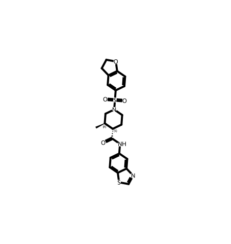 C[C@H]1CN(S(=O)(=O)c2ccc3c(c2)CCO3)CC[C@@H]1C(=O)Nc1ccc2scnc2c1